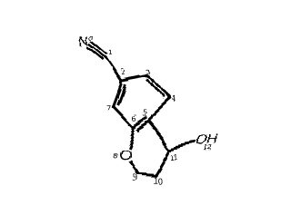 N#Cc1ccc2c(c1)OCCC2O